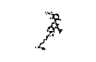 COc1ccc(F)c(N2Cc3cnc(NCCCCCN(C(C)C)C(C)C)nc3N(C3CC3)C2=O)c1F